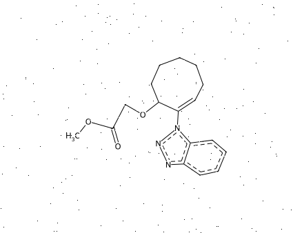 COC(=O)COC1CCCCC/C=C\1n1nnc2ccccc21